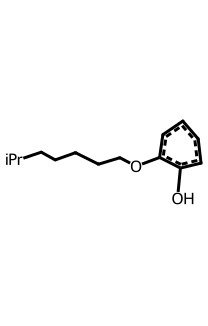 CC(C)CCCCCOc1ccccc1O